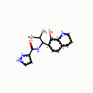 CC(C)C(NC(=O)c1cc[nH]n1)c1ccc2cccnc2c1O